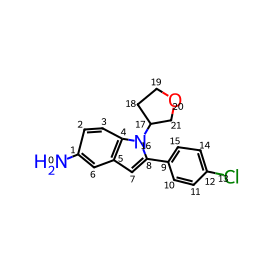 Nc1ccc2c(c1)cc(-c1ccc(Cl)cc1)n2C1CCOC1